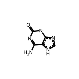 NC1=NC(=O)[N]c2nc[nH]c21